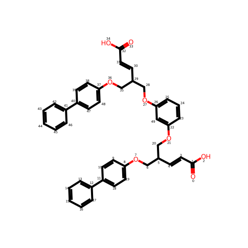 O=C(O)C=CC(COc1ccc(-c2ccccc2)cc1)COc1cccc(OCC(C=CC(=O)O)COc2ccc(-c3ccccc3)cc2)c1